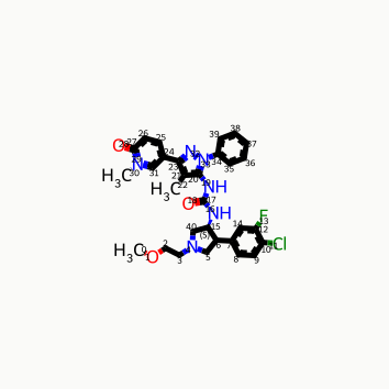 COCCN1CC(c2ccc(Cl)c(F)c2)[C@H](NC(=O)Nc2c(C)c(-c3ccc(=O)n(C)c3)nn2-c2ccccc2)C1